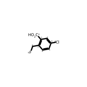 O=C(O)c1cc(Cl)ccc1CF